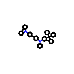 c1ccc(N(c2ccc(-c3ccc(-n4c5ccccc5c5ccccc54)cc3)cc2)c2ccc3c(c2)-c2ccccc2C3(c2ccccc2)c2ccccc2)cc1